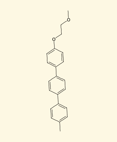 COCCOc1ccc(-c2ccc(-c3ccc(C)cc3)cc2)cc1